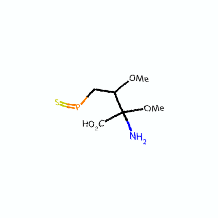 COC(CP=S)C(N)(OC)C(=O)O